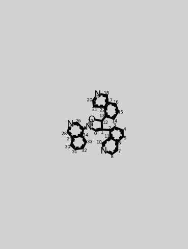 [C]1=C(c2cccc3ccncc23)C(c2cccc3cnccc23)ON1c1cncc2ccccc12